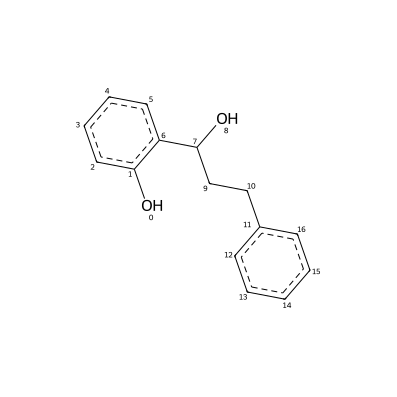 Oc1ccccc1C(O)CCc1ccccc1